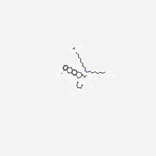 CCCCCCCC/C=C\CCCCCCCCOC(N)=O.COc1cccc2c1C(=O)c1c(O)c3c(c(O)c1C2=O)C[C@@](O)(C(=O)CO)C[C@@H]3O[C@H]1C[C@H](N)[C@H](O)[C@H](C)O1